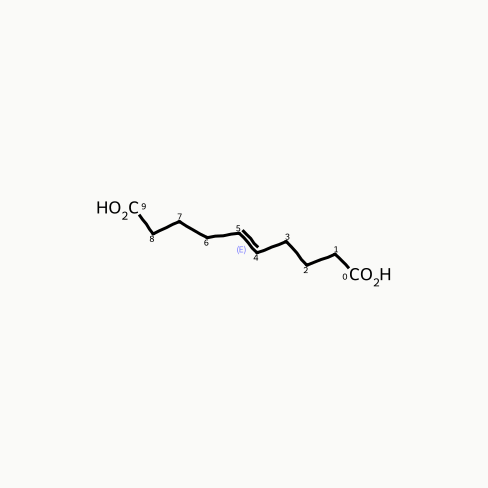 O=C(O)CCC/C=C/CCCC(=O)O